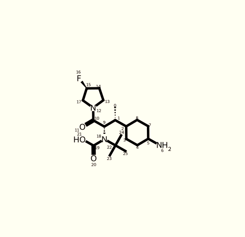 C[C@H](C1CCC(N)CC1)[C@@H](C(=O)N1CC[C@H](F)C1)N(C(=O)O)C(C)(C)C